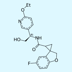 CCOc1ccc([C@H](CO)NC(=O)C2CC23COc2ccc(F)cc23)cn1